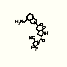 N#C[C@@H]1CC(F)(F)CN1C(=O)[C@@H]1C[C@@H](CC(=O)N2Cc3cccc(CN)c3C2)C(=O)N1